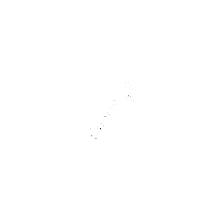 CC(CC(C)[C@H](N)C(=O)O)C(C)n1ncn(-c2ccc(N3CCN(c4ccc(OCC5COC(Cn6cncn6)(c6ccc(F)cc6F)O5)cc4)CC3)cc2)c1=O